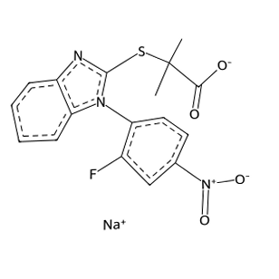 CC(C)(Sc1nc2ccccc2n1-c1ccc([N+](=O)[O-])cc1F)C(=O)[O-].[Na+]